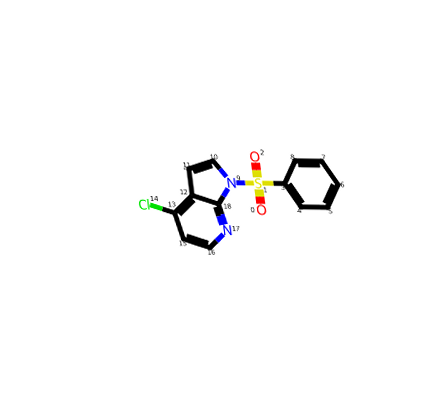 O=S(=O)(c1ccccc1)n1c[c]c2c(Cl)ccnc21